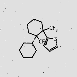 FC(F)(F)C1(c2cccs2)CCCCC1(C1CCCCC1)C(F)(F)F